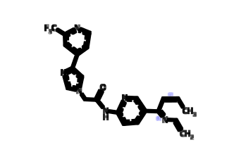 C=C/N=C(\C=C/C)c1ccc(NC(=O)Cn2cnc(-c3ccnc(C(F)(F)F)c3)c2)nc1